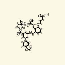 O=C(O)CCCOc1cccc(COc2cc(C(=O)N3CCC(F)(F)C3)cc(-c3ccc4c(c3)OCO4)c2)c1CCC(=O)O